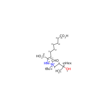 CCCCCCC(C)(O)CC[N+](C=O)(NC(CCCCCCC(=O)O)C(=O)O)C(C)(C)C